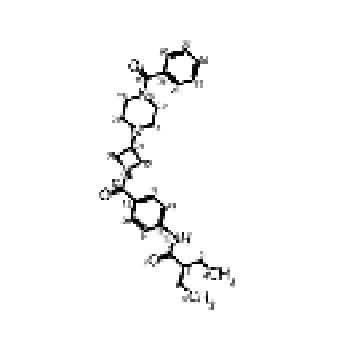 CCC(CC)C(=O)Nc1ccc(C(=O)N2CC(N3CCN(C(=O)c4ccccc4)CC3)C2)cc1